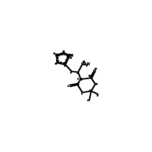 CC1(C)CC(=O)N(C(Cc2cnc[nH]2)C(=O)O)C(=O)C1